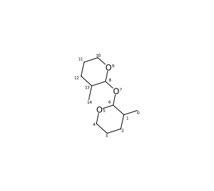 CC1CCCOC1OC1OCCCC1C